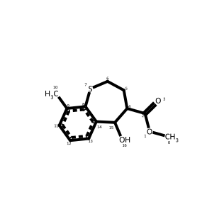 COC(=O)C1CCSc2c(C)cccc2C1O